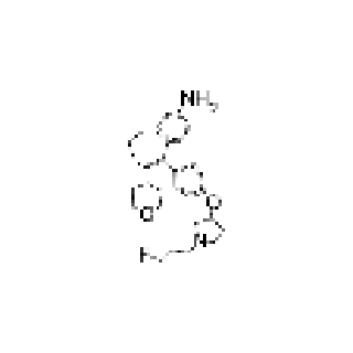 Nc1ccc2c(c1)CCCC(C1CCOCC1)=C2c1ccc(OC2CCN(CCCF)C2)cc1